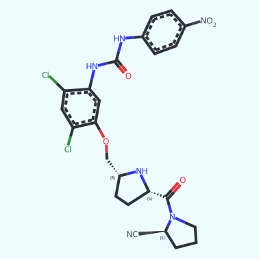 N#C[C@@H]1CCCN1C(=O)[C@@H]1CC[C@H](COc2cc(NC(=O)Nc3ccc([N+](=O)[O-])cc3)c(Cl)cc2Cl)N1